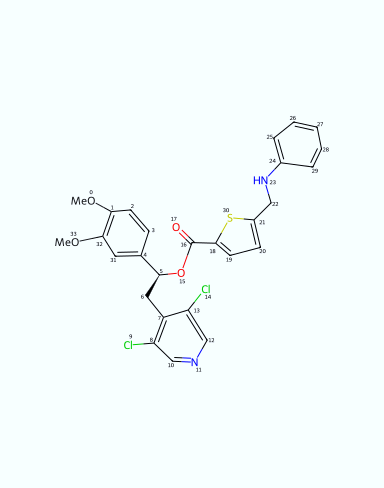 COc1ccc([C@H](Cc2c(Cl)cncc2Cl)OC(=O)c2ccc(CNc3ccccc3)s2)cc1OC